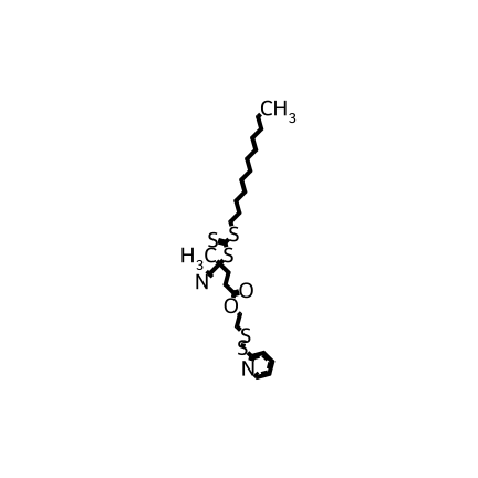 CCCCCCCCCCCCSC(=S)SC(C)(C#N)CCC(=O)OCCSSc1ccccn1